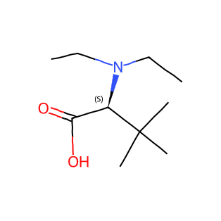 CCN(CC)[C@H](C(=O)O)C(C)(C)C